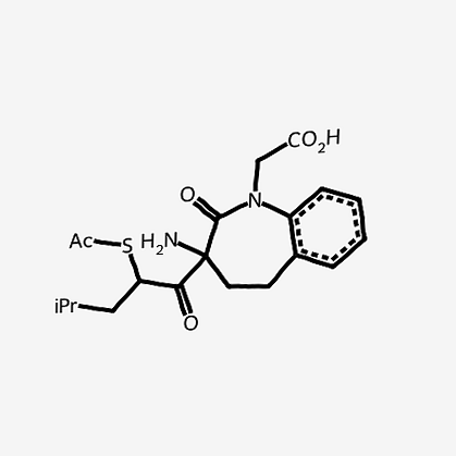 CC(=O)SC(CC(C)C)C(=O)C1(N)CCc2ccccc2N(CC(=O)O)C1=O